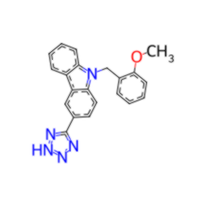 COc1ccccc1Cn1c2ccccc2c2cc(-c3nn[nH]n3)ccc21